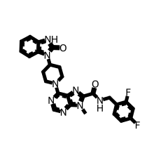 Cn1c(C(=O)NCc2ccc(F)cc2F)nc2c(N3CCC(n4c(=O)[nH]c5ccccc54)CC3)ncnc21